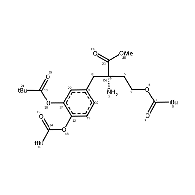 CCC(C)C(=O)OCC[C@@](N)(Cc1ccc(OC(=O)C(C)(C)C)c(OC(=O)C(C)(C)C)c1)C(=O)OC